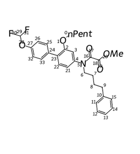 CCCCCOc1cc(N(CCCCc2ccccc2)C(=O)C(=O)OC)ccc1-c1ccc(OC(F)F)cc1